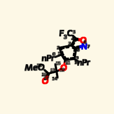 CCCc1cc2c(C(F)(F)F)onc2c(CCC)c1OC(C)(C)C(=O)OC